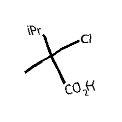 CC(C)C(C)(Cl)C(=O)O